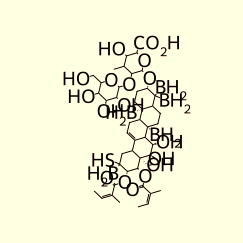 BC1(B)C2CC[C@@]3(B)C4C(=CCC3[C@@]2(B)CC[C@@H]1OC1OC(C(=O)O)C(O)C(C)C1OC1OC(CO)C(O)C(O)C1O)C1C[C@@](B)(S)[C@@H](OC(=O)/C(C)=C\C)[C@H](OC(=O)/C(C)=C\C)[C@]1(CO)[C@H](O)[C@@H]4O